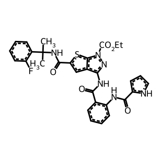 CCOC(=O)n1nc(NC(=O)c2ccccc2NC(=O)c2ccc[nH]2)c2cc(C(=O)NC(C)(C)c3ccccc3F)sc21